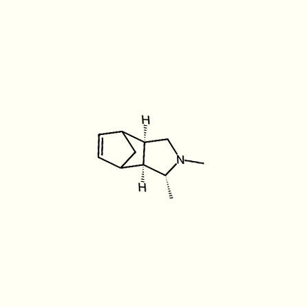 C[C@@H]1[C@H]2C3C=CC(C3)[C@H]2CN1C